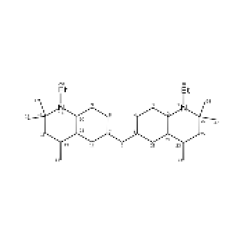 CCN1C2CCC(CC3CCC4C(C3)C(C)CC(C)(C)N4CC)CC2C(C)CC1(C)C